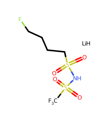 O=S(=O)(CCCCF)NS(=O)(=O)C(F)(F)F.[LiH]